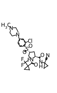 CN1CCN(c2ccc(S(=O)(=O)[C@@H]3C[C@@H](C(=O)NC4(C#N)CC4)N(C(=O)C4(C(F)(F)F)CC4)C3)c(Cl)c2)CC1